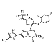 CCS(=O)(=O)Nc1ccc(Oc2ccc(F)cc2F)c(-c2cn(C)c(=O)c3cc(-c4nc(C)n[nH]4)sc23)c1